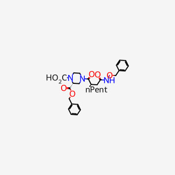 CCCCC[C@H](CC(=O)NOCc1ccccc1)C(=O)N1CCN(C(=O)O)[C@@H](C(=O)OCc2ccccc2)C1